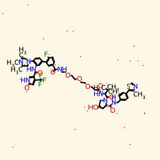 Cc1ncsc1-c1ccc(CNC(=O)[C@@H]2C[C@@H](O)CN2C(=O)C(NC(=O)CCOCCOCCOCCNC(=O)c2ccc(F)c(-c3ccc(N4C[C@@H](C)N(C)[C@@H](C)C4)c(NC(=O)c4c[nH]c(=O)cc4C(F)(F)F)c3)c2)C(C)(C)C)cc1